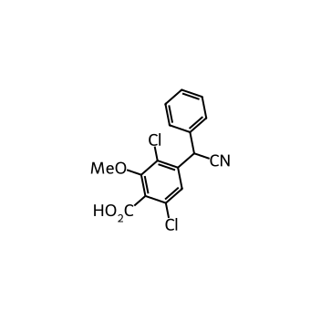 COc1c(Cl)c(C(C#N)c2ccccc2)cc(Cl)c1C(=O)O